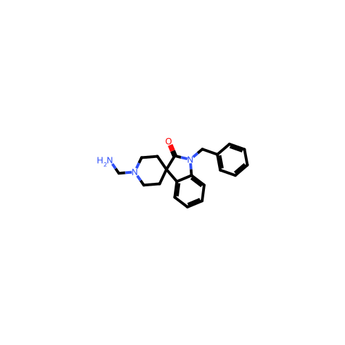 NCN1CCC2(CC1)C(=O)N(Cc1ccccc1)c1ccccc12